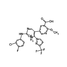 C=C(/N=C\C(=C(/N)n1ccc(C(F)(F)F)n1)c1cnc(OC)c(C(=O)O)c1)Nc1ccc(F)c(Cl)c1